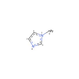 C[CH]Cn1ccnc1